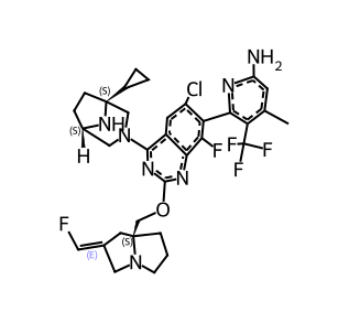 Cc1cc(N)nc(-c2c(Cl)cc3c(N4C[C@@H]5CC[C@](C6CC6)(C4)N5)nc(OC[C@@]45CCCN4C/C(=C/F)C5)nc3c2F)c1C(F)(F)F